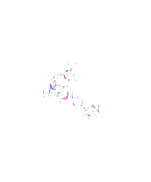 COc1ccc(C2CN(c3ccc(C4(CN(C)C(C)=O)CC4)cc3)C(=O)c3[nH]nc(S(C)(=O)=O)c32)cc1